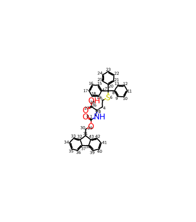 O=C(N[C@H](CCSC(c1ccccc1)(c1ccccc1)c1ccccc1)C(=O)O)OCC1c2ccccc2-c2ccccc21